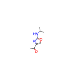 CC(=O)c1coc(NC(C)C)n1